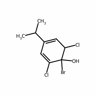 CC(C)C1=CC(Cl)C(O)(Br)C(Cl)=C1